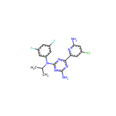 CC(C)N(c1cc(F)cc(F)c1)c1nc(N)nc(-c2cc(Cl)cc(N)n2)n1